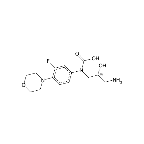 NC[C@@H](O)CN(C(=O)O)c1ccc(N2CCOCC2)c(F)c1